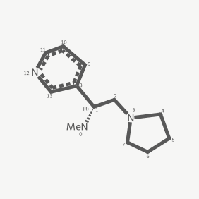 CN[C@@H](CN1CCCC1)c1cccnc1